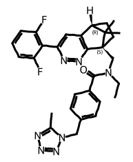 CCN(C[C@@]12CC[C@@H](c3cc(-c4c(F)cccc4F)nnc31)C2(C)C)C(=O)c1ccc(Cn2nnnc2C)cc1